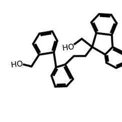 OCc1ccccc1-c1ccccc1CCC1(CO)c2ccccc2-c2ccccc21